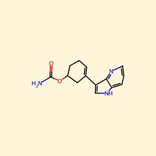 NC(=O)OC1CCC=C(c2c[nH]c3cccnc23)C1